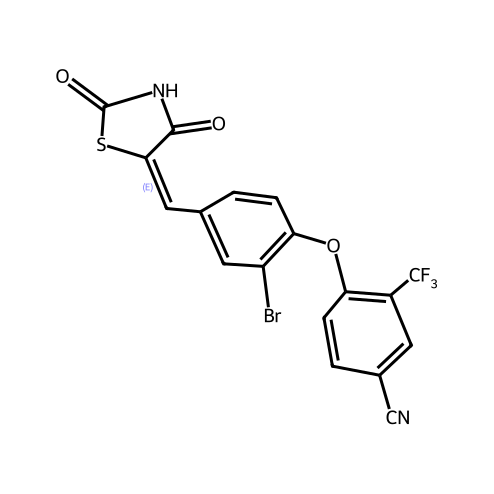 N#Cc1ccc(Oc2ccc(/C=C3/SC(=O)NC3=O)cc2Br)c(C(F)(F)F)c1